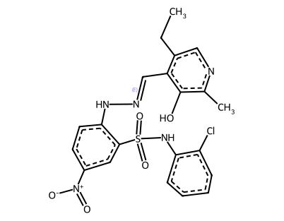 CCc1cnc(C)c(O)c1/C=N/Nc1ccc([N+](=O)[O-])cc1S(=O)(=O)Nc1ccccc1Cl